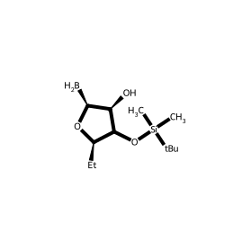 B[C@@H]1O[C@H](CC)C(O[Si](C)(C)C(C)(C)C)[C@@H]1O